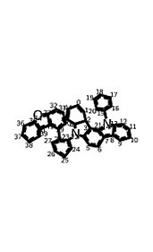 C1=CC2c3c(ccc4c5ccccc5n(-c5ccccc5)c34)N(c3ccccc3-c3cccc4oc5ccccc5c34)C2C=C1